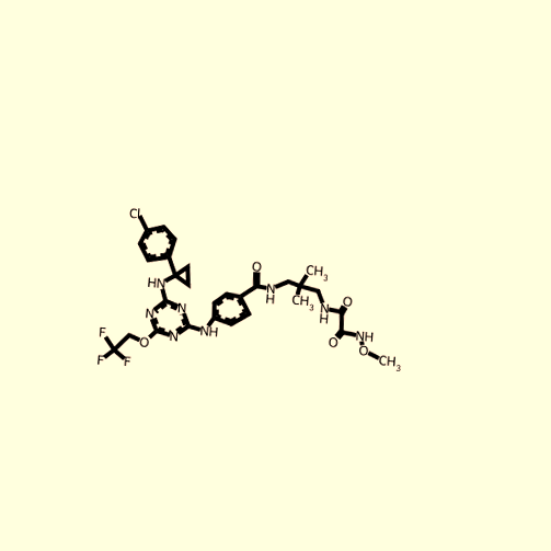 CONC(=O)C(=O)NCC(C)(C)CNC(=O)c1ccc(Nc2nc(NC3(c4ccc(Cl)cc4)CC3)nc(OCC(F)(F)F)n2)cc1